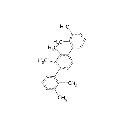 Cc1cccc(-c2ccc(-c3cccc(C)c3C)c(C)c2C)c1C